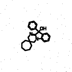 OC1(c2ccccc2)C2=NCC3(CCCCCC3)CN2c2ccccc21